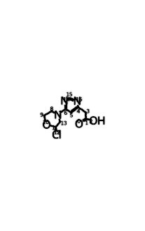 O=C(O)Cc1cc(N2CCOC(Cl)C2)ncn1